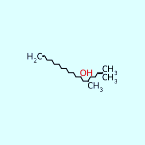 C=CCCCCCCCCCC(O)CC(C)CCC=C(C)C